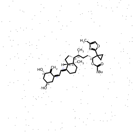 C=C1/C(=C\C=C2/CCC[C@]3(C)[C@@H]([C@H](C)CC[C@@H](OC(=O)CCCC)C4(c5nc(C)co5)CC4)CC[C@@H]23)C[C@@H](O)C[C@@H]1O